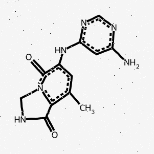 Cc1cc(Nc2cc(N)ncn2)c(=O)n2c1C(=O)NC2